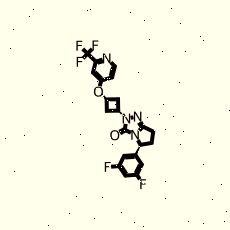 O=c1n2c(nn1[C@H]1C[C@H](Oc3ccnc(C(F)(F)F)c3)C1)CC[C@H]2c1cc(F)cc(F)c1